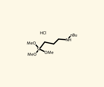 CCCCNCCC[Si](OC)(OC)OC.Cl